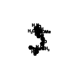 COc1cccc(Nc2c(C(N)=O)cnc3c(C)cc(S(=O)(=O)c4cccc(C(=O)N5CCN(C(=O)c6cccc(CC(C)(C)NCCc7ccc(OCc8ccccc8)c8[nH]c(=O)ccc78)c6)CC5)c4)cc23)c1